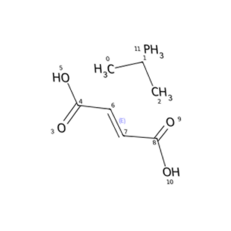 CCC.O=C(O)/C=C/C(=O)O.P